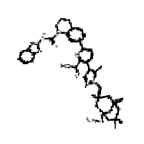 Cc1c(-c2ccc(-c3ccc4c(c3)N(C(=O)Nc3nc5ccccc5s3)CCC4)nc2C(=O)O)cnn1CC1(C)CC2(C)CC(C)(C)CC(ON)(C1)C2